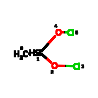 C[SiH](OCl)OCl